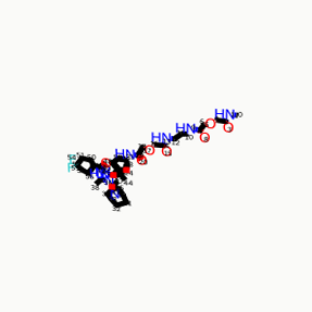 CNC(=O)COCC(=O)NCCCNC(=O)COCC(=O)Nc1ccc([C@H](CCN2C3CCC2CC(n2c(C)nnc2C(C)C)C3)NC(=O)C2CCC(F)(F)CC2)cc1